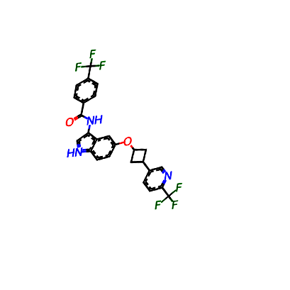 O=C(Nc1c[nH]c2ccc(OC3CC(c4ccc(C(F)(F)F)nc4)C3)cc12)c1ccc(C(F)(F)F)cc1